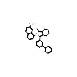 Cc1c2c(c(-c3cccc(-c4ccccc4)c3)n1-c1cccc3ccc(O)cc13)CCCC2